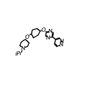 CC(C)N1CCC(OC2CCC(Oc3cnc(-c4ccnnc4)cn3)CC2)CC1